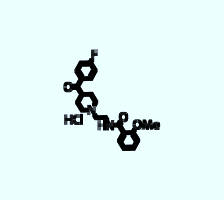 COc1ccccc1C(=O)NCCN1CCC(C(=O)c2ccc(F)cc2)CC1.Cl